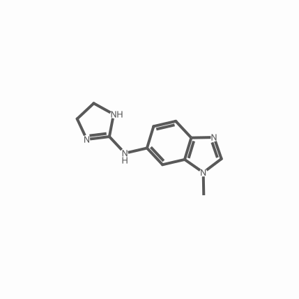 Cn1cnc2ccc(NC3=NCCN3)cc21